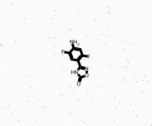 Nc1cc(F)c(-c2noc(=O)[nH]2)cc1F